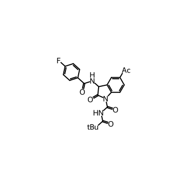 CC(=O)c1ccc2c(c1)C(NC(=O)c1ccc(F)cc1)C(=O)N2C(=O)NC(=O)C(C)(C)C